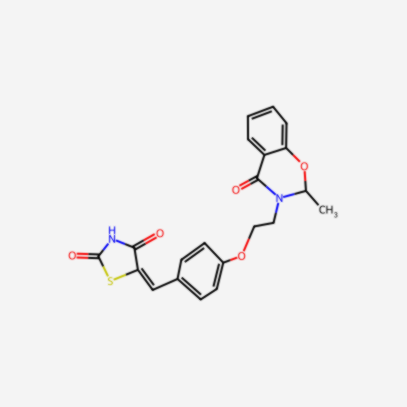 CC1Oc2ccccc2C(=O)N1CCOc1ccc(C=C2SC(=O)NC2=O)cc1